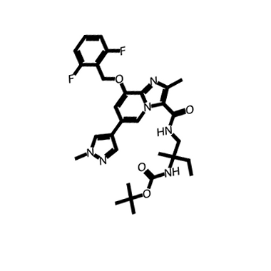 CCC(C)(CNC(=O)c1c(C)nc2c(OCc3c(F)cccc3F)cc(-c3cnn(C)c3)cn12)NC(=O)OC(C)(C)C